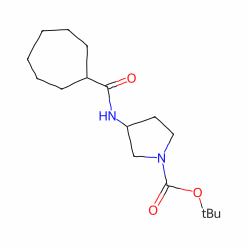 CC(C)(C)OC(=O)N1CCC(NC(=O)C2CCCCCC2)C1